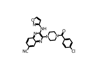 N#Cc1ccc2nc(Nc3ccon3)c(N3CCN(C(=O)c4ccc(Cl)cc4)CC3)nc2c1